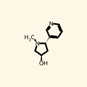 CN1C[C@H](O)C[C@H]1c1cccnc1